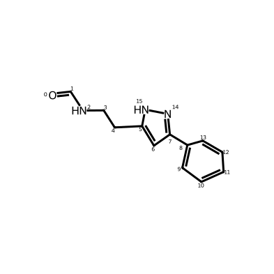 O=CNCCc1cc(-c2ccccc2)n[nH]1